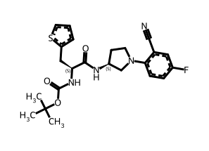 CC(C)(C)OC(=O)N[C@@H](Cc1cccs1)C(=O)N[C@H]1CCN(c2ccc(F)cc2C#N)C1